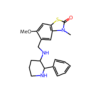 COc1cc2sc(=O)n(C)c2cc1CNC1CCCNC1c1ccccc1